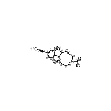 CC#Cc1cc(C)c(C2C(=O)CCCN(C(=O)CC)CCCC2O)c(C)c1